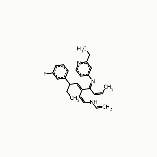 C=CN\C=C/C(=C\C(CC)c1cccc(F)c1)C(/C=C\C)=N\c1ccnc(CC)c1